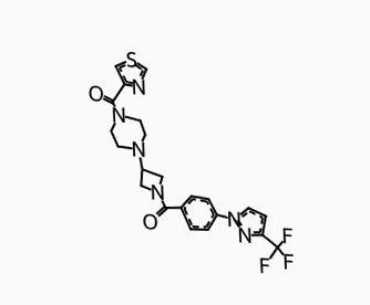 O=C(c1ccc(-n2ccc(C(F)(F)F)n2)cc1)N1CC(N2CCN(C(=O)c3cscn3)CC2)C1